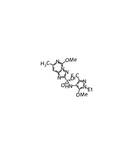 CCn1nc(C(F)(F)F)c(NS(=O)(=O)c2nc3cc(C)nc(OC)n3n2)c1OC